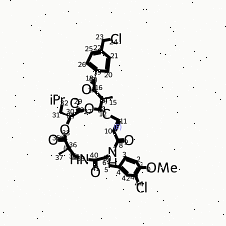 COc1ccc(C[C@H]2NC(=O)/C=C/C[C@@H]([C@H](C)C3O[C@@H]3c3ccc(CCl)cc3)OC(=O)[C@H](CC(C)C)OC(=O)[C@H](C)CNC2=O)cc1Cl